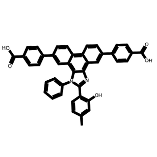 Cc1ccc(-c2nc3c4cc(-c5ccc(C(=O)O)cc5)ccc4c4ccc(-c5ccc(C(=O)O)cc5)cc4c3n2-c2ccccc2)c(O)c1